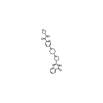 O=C(NC1COC1)c1ccc(N2CCC(N3CCC(c4nc5ccccc5c(=O)[nH]4)C3)CC2)cn1